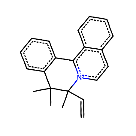 C=CC1(C)[n+]2ccc3ccccc3c2-c2ccccc2C1(C)C